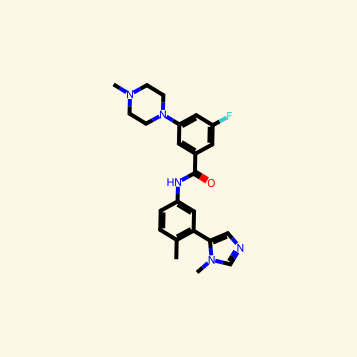 Cc1ccc(NC(=O)c2cc(F)cc(N3CCN(C)CC3)c2)cc1-c1cncn1C